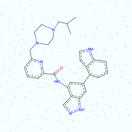 CC(C)CN1CCN(Cc2cccc(C(=O)Nc3cc(-c4cccc5[nH]ccc45)cc4[nH]ncc34)n2)CC1